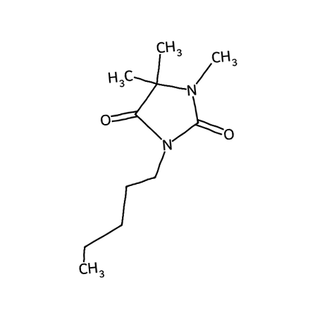 CCCCCN1C(=O)N(C)C(C)(C)C1=O